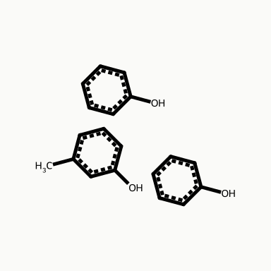 Cc1cccc(O)c1.Oc1ccccc1.Oc1ccccc1